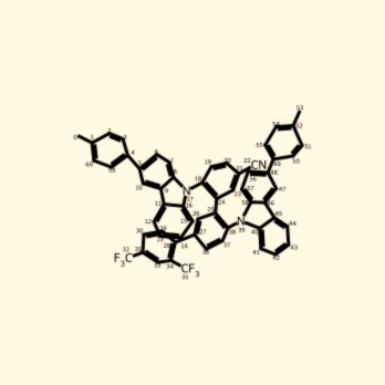 Cc1ccc(-c2ccc3c(c2)c2ccccc2n3-c2ccc(C#N)cc2-c2cc(-c3ccc(C(F)(F)F)cc3C(F)(F)F)ccc2-n2c3ccccc3c3cc(-c4ccc(C)cc4)ccc32)cc1